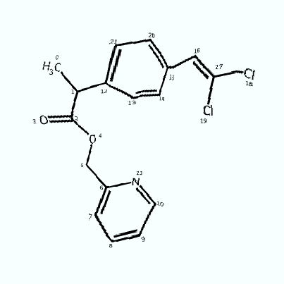 CC(C(=O)OCc1ccccn1)c1ccc(C=C(Cl)Cl)cc1